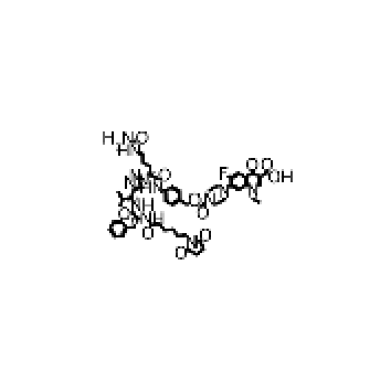 CCn1cc(C(=O)O)c(=O)c2cc(F)c(N3CCN(C(=O)OCc4ccc(NC(=O)[C@H](CCCNC(N)=O)n5cc([C@@H](NC(=O)[C@H](Cc6ccccc6)NC(=O)CCCCCN6C(=O)CCC6=O)C(C)C)nn5)cc4)CC3)cc21